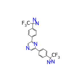 FC(F)(F)C1(c2ccc(-c3cncc(-c4ccc(C5(C(F)(F)F)N=N5)cc4)n3)cc2)N=N1